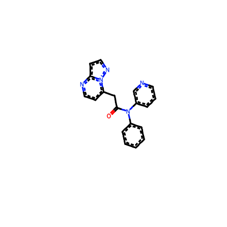 O=C(Cc1ccnc2ccnn12)N(c1ccccc1)c1cccnc1